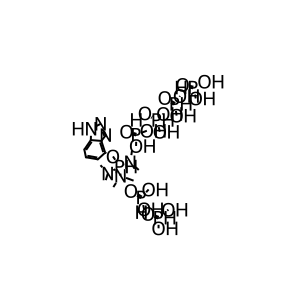 CN(C)[PH](Oc1cccc2[nH]nnc12)(N(C)C)N(C)C.O=[PH](O)O.O=[PH](O)O.O=[PH](O)O.O=[PH](O)O.O=[PH](O)O.O=[PH](O)O